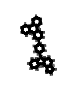 c1ccc2c(c1)c1ccccc1c1cc(-c3ccc(-n4c5ccccc5c5c6sccc6ccc54)cc3)ccc21